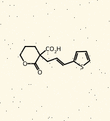 O=C(O)C1(CC=Cc2cccs2)CCCOC1=O